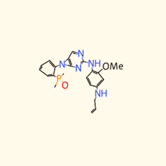 C=CCNc1ccc(Nc2ncc3c(n2)N3c2ccccc2P(C)(C)=O)c(OC)c1